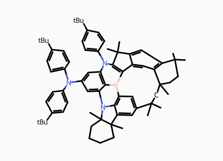 CC(C)(C)c1ccc(N2C3=C4B5c6cc(cc7c6N(c6cc(N(c8ccc(C(C)(C)C)cc8)c8ccc(C(C)(C)C)cc8)cc2c65)C2(C)CCCCC72C)C(C)(C)CC2(C)CCC(C)(C)c5cc(c4cc52)C3(C)C)cc1